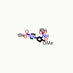 COC(=O)c1ccc(N2CCN(C(=O)OC(C)(C)C)CC2)cc1NC(=O)OC(C)(C)C